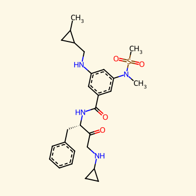 CC1CC1CNc1cc(C(=O)N[C@@H](Cc2ccccc2)C(=O)CNC2CC2)cc(N(C)S(C)(=O)=O)c1